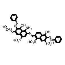 Nc1c(N=Nc2ccc3c(O)c(N=Nc4ccccc4)c(S(=O)(=O)O)cc3c2S(=O)(=O)O)cc(S(=O)(=O)O)c2cc(SOOO)c(N=Nc3ccccc3)c(O)c12